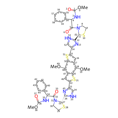 COC(=O)NC(C(=O)N1CCS[C@H]1c1nc(-c2cc3c(OC)c4sc(-c5c[nH]c([C@@H]6SCCN6C(=O)C(NC(=O)OC)c6ccccc6)n5)cc4c(OC)c3s2)c[nH]1)c1ccccc1